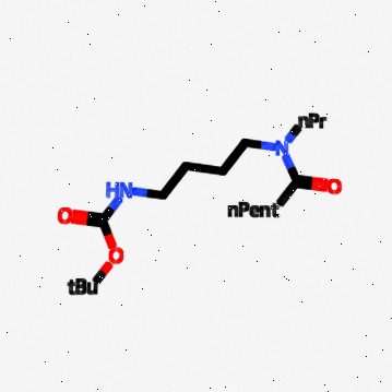 [CH2]CCN(CCCCNC(=O)OC(C)(C)C)C(=O)CCCCC